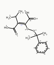 CC(C)/C(C(=O)O)=C(/OOC(C)(C)c1ccccc1)C(=O)O